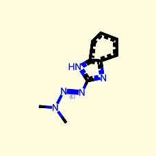 CN(C)/N=N/c1nc2ccccc2[nH]1